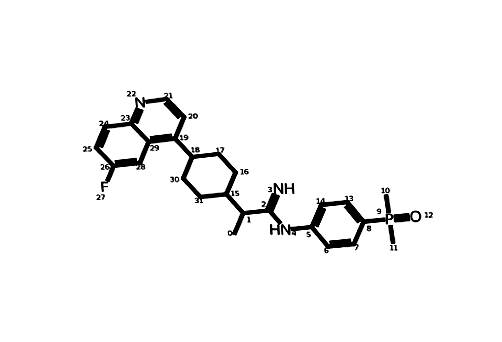 CC(C(=N)Nc1ccc(P(C)(C)=O)cc1)C1CCC(c2ccnc3ccc(F)cc23)CC1